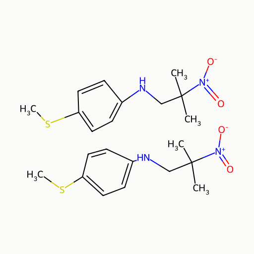 CSc1ccc(NCC(C)(C)[N+](=O)[O-])cc1.CSc1ccc(NCC(C)(C)[N+](=O)[O-])cc1